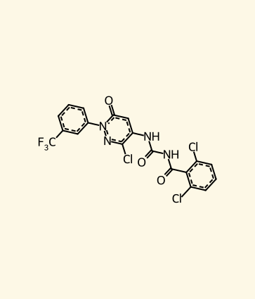 O=C(NC(=O)c1c(Cl)cccc1Cl)Nc1cc(=O)n(-c2cccc(C(F)(F)F)c2)nc1Cl